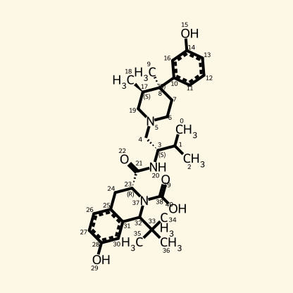 CC(C)[C@@H](CN1CC[C@](C)(c2cccc(O)c2)[C@H](C)C1)NC(=O)[C@H]1Cc2ccc(O)cc2C(C(C)(C)C)N1C(=O)O